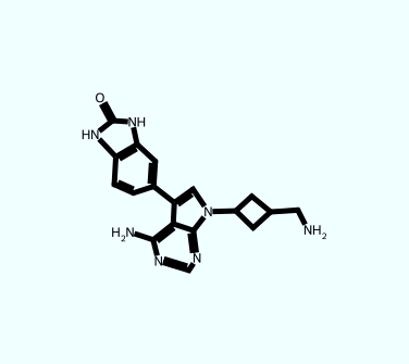 NCC1CC(n2cc(-c3ccc4[nH]c(=O)[nH]c4c3)c3c(N)ncnc32)C1